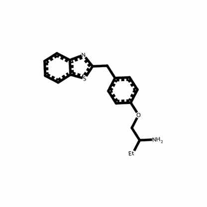 CCC(N)COc1ccc(Cc2nc3ccccc3s2)cc1